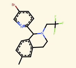 Cc1ccc2c(c1)CCN(CC(F)(F)F)C2c1ccc(Br)cn1